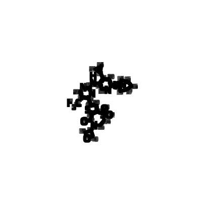 O=C1c2sc(-c3nc(Nc4cnc(N5CC6CC(C5)N6)cc4C4CC4)ncc3C(F)(F)F)cc2S(=O)(=O)CCN1C1COC1